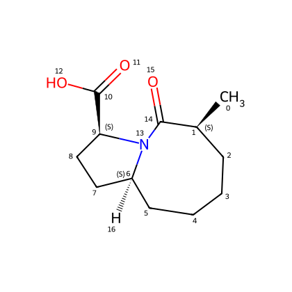 C[C@H]1CCCC[C@H]2CC[C@@H](C(=O)O)N2C1=O